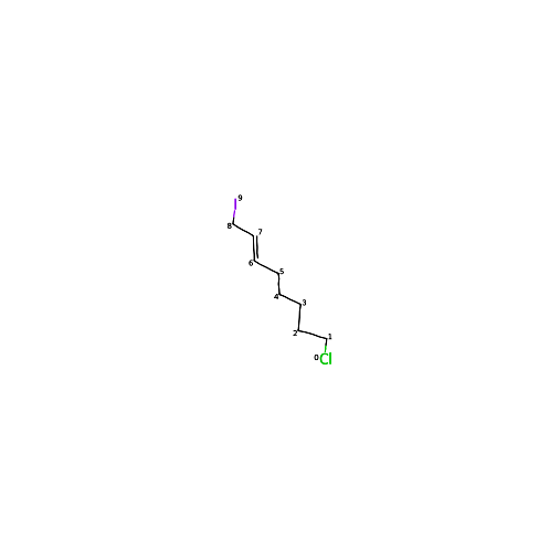 ClCCCCCC=CCI